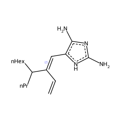 C=C/C(=C\c1[nH]c(N)nc1N)C(CCC)CCCCCC